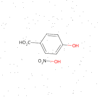 O=C(O)c1ccc(O)cc1.O=[N+]([O-])O